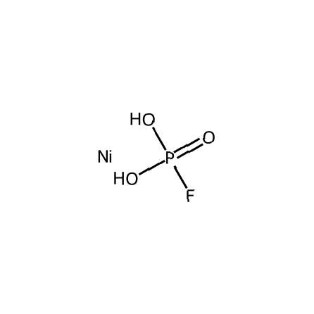 O=P(O)(O)F.[Ni]